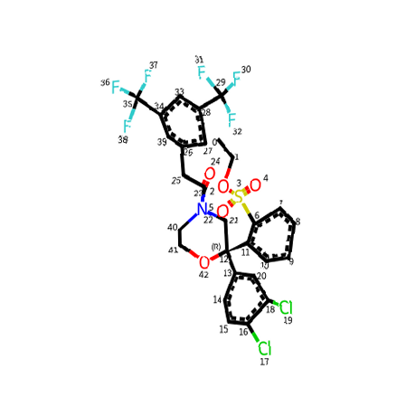 CCOS(=O)(=O)c1ccccc1[C@]1(c2ccc(Cl)c(Cl)c2)CN(C(=O)Cc2cc(C(F)(F)F)cc(C(F)(F)F)c2)CCO1